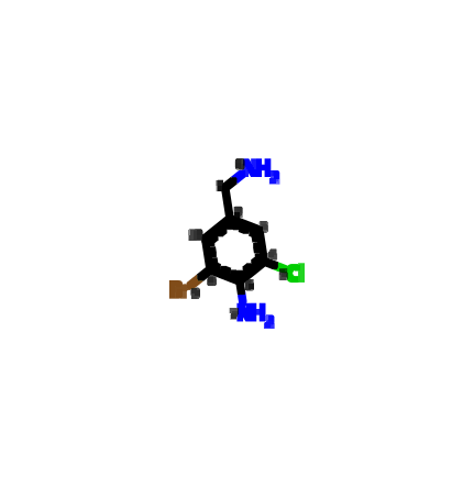 NCc1cc(Cl)c(N)c(Br)c1